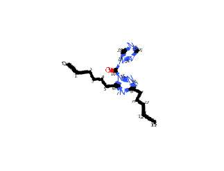 CCCCCCc1nc(CCCCC)nn1C(=O)n1cncn1